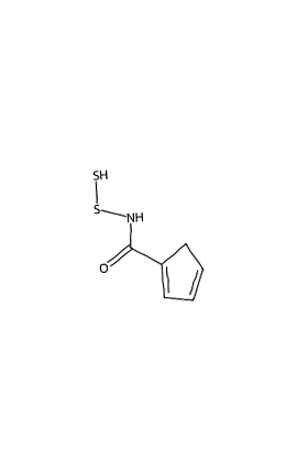 O=C(NSS)C1=CC=CC1